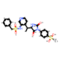 CC(c1ccncc1NS(=O)(=O)Cc1ccccc1)C1NC(=O)N(c2ccc(S(=O)(=O)C(F)(F)F)cc2)C1=O